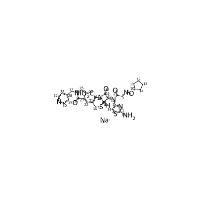 Nc1nc(N(C(=O)C=NOC2CCCC2)[C@@H]2C(=O)N3C(C(=O)O)=C(C=C4CCN(Cc5ccncc5)C4=O)CS[C@H]23)cs1.[Na]